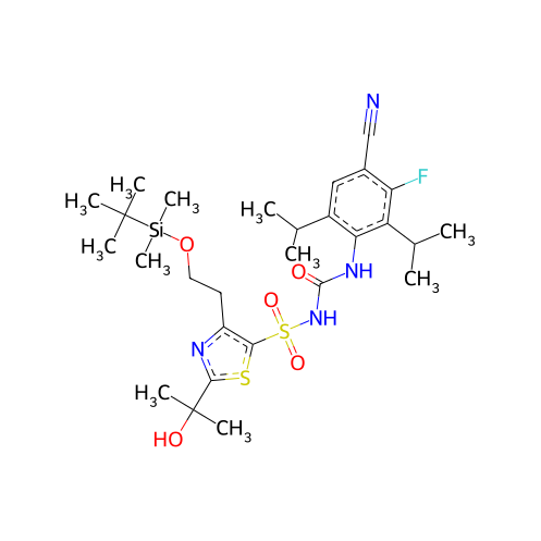 CC(C)c1cc(C#N)c(F)c(C(C)C)c1NC(=O)NS(=O)(=O)c1sc(C(C)(C)O)nc1CCO[Si](C)(C)C(C)(C)C